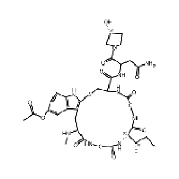 CC[C@H](C)[C@@H]1NC(=O)CNC(=O)C(NC)Cc2c([nH]c3ccc(OC(C)=O)cc23)SCC(C(=O)NC(CC(N)=O)C(=O)N2CC[C@@H](O)C2)NC(=O)CNC1=O